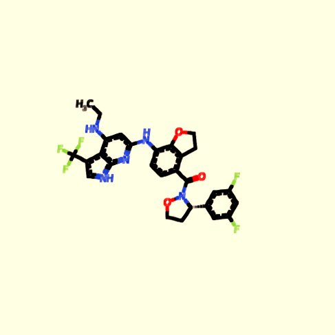 CCNc1cc(Nc2ccc(C(=O)N3OCC[C@H]3c3cc(F)cc(F)c3)c3c2OCC3)nc2[nH]cc(C(F)(F)F)c12